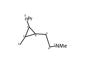 CCCC1C(C)C1CCNC